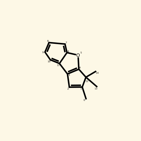 CC1=Cc2c(oc3ccccc23)C1(C)C